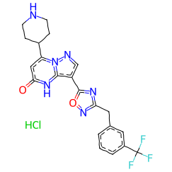 Cl.O=c1cc(C2CCNCC2)n2ncc(-c3nc(Cc4cccc(C(F)(F)F)c4)no3)c2[nH]1